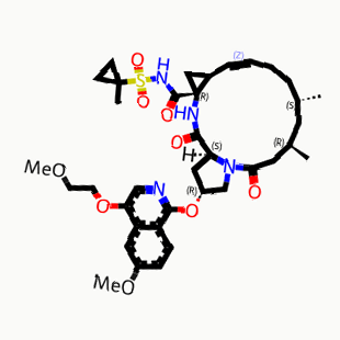 COCCOc1cnc(O[C@@H]2C[C@H]3C(=O)N[C@]4(C(=O)NS(=O)(=O)C5(C)CC5)CC4/C=C\CC[C@H](C)C[C@@H](C)CC(=O)N3C2)c2ccc(OC)cc12